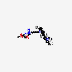 CCC(C)c1ccc2c3ccc(C(CC)(CC)C(CC)(CC)c4ccc5c6ccc(C(CC)CC)cc6n(C(C)C#N)c5c4)cc3n(CCCCCCCCN3C=C(COC(=O)C(C)C(C)(C)C(C)C(=O)OC(C)C)NN3)c2c1